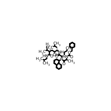 CCCC[C@@H](C(=O)N[C@@H](CC(C)C)[C@@H](O)CC(C(=O)NCC(C)C)C(C)C)N(C(=O)[C@H](C)NC(=O)OCc1ccccc1)c1cccc2ccccc12